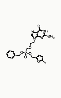 Cc1ccc(COP(=O)(COCCn2cnc3c(=O)[nH]c(N)nc32)OCc2ccccc2)o1